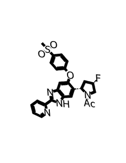 CC(=O)N1C[C@@H](F)C[C@H]1c1cc2[nH]c(-c3ccccn3)nc2cc1Oc1ccc(S(C)(=O)=O)cc1